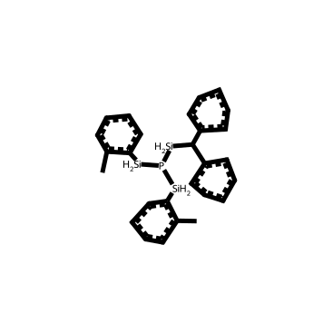 Cc1ccccc1[SiH2]P([SiH2]c1ccccc1C)[SiH2]C(c1ccccc1)c1ccccc1